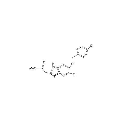 COC(=O)Cc1nc2cc(Cl)c(OCc3ccc(Cl)cc3)cc2[nH]1